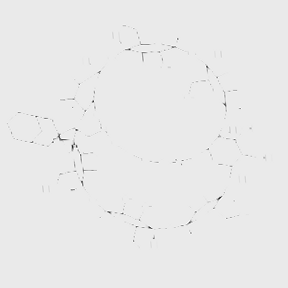 CC1(CCN2CCCCNCC3O[C@@H]4O[C@H]5C(CO)O[C@H](O[C@@H]6C(CO)O[C@H](O[C@@H]7C(CO)O[C@H](O[C@@H]8C(C2)O[C@H](O[C@@H]2C(CO)O[C@H](O[C@@H]9C(CO)O[C@H](O[C@H]3C(O)C4O)C(O)C9O)C(O)C2O)C(O)C8O)C(O)C7O)C(O)C6O)C(O)C5O)CC2CCCC(C2)C1